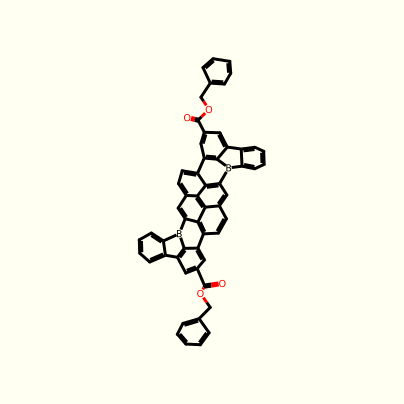 O=C(OCc1ccccc1)c1cc2c3c(c1)-c1ccc4cc5c6c(ccc7cc(c1c4c76)B3c1ccccc1-2)-c1cc(C(=O)OCc2ccccc2)cc2c1B5c1ccccc1-2